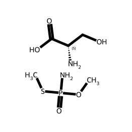 COP(N)(=O)SC.N[C@@H](CO)C(=O)O